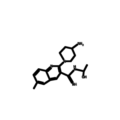 Cc1ccc2nc(N3CCC(N)CC3)c(C(=N)NC(C)O)cc2c1